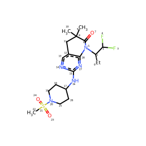 CCC(C(F)F)N1C(=O)C(C)(C)Cc2cnc(NC3CCN(S(C)(=O)=O)CC3)nc21